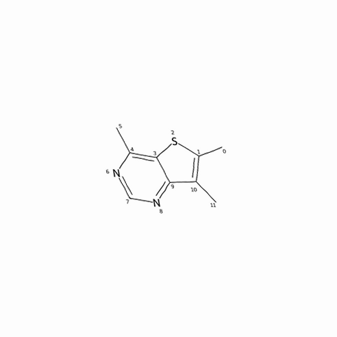 Cc1sc2c(C)ncnc2c1C